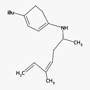 C=C/C(C)=C\CC(C)NC1=CC=C(C(C)CC)CC1